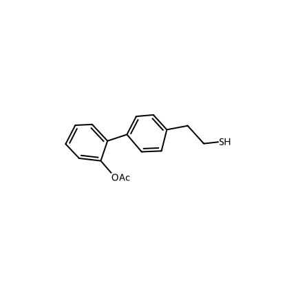 CC(=O)Oc1ccccc1-c1ccc(CCS)cc1